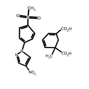 CC1(C(=O)O)C=CC=C(C(=O)O)C1.CS(=O)(=O)c1ccc(-n2cc([N+](=O)[O-])cn2)cc1